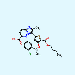 CCCCOC(=O)c1sc(-c2c(C)nc3ccc(C(=O)O)nn23)cc1O[C@H](C)c1ccccc1Cl